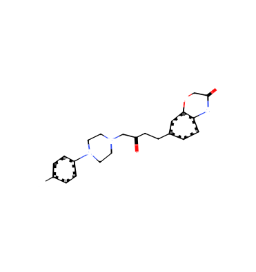 O=C(CCc1ccc2c(c1)OCC(=O)N2)CN1CCN(c2ccc(C(F)(F)F)cc2)CC1